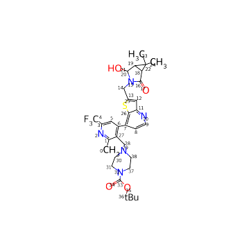 Cc1nc(C(F)(F)F)cc(-c2ccnc3cc(CN4C(=O)C5C(C4O)C5(C)C)sc23)c1CN1CCN(C(=O)OC(C)(C)C)CC1